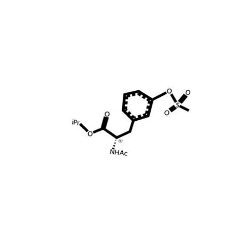 CC(=O)N[C@@H](Cc1cccc(OS(C)(=O)=O)c1)C(=O)OC(C)C